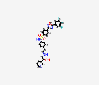 O=S(=O)(Nc1ccc(CCNCC(O)c2cccnc2)cc1)c1ccc(-c2noc(-c3cc(F)c(F)c(F)c3)n2)cc1